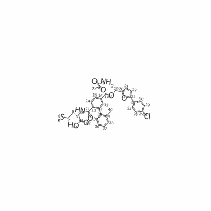 CS(N)(=O)=O.CSCC[C@H](NC(=O)c1ccc(COCc2ccc(-c3ccc(Cl)cc3)o2)cc1-c1ccccc1C)C(=O)O